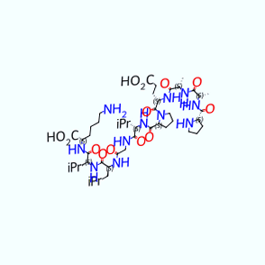 CC(C)C[C@H](NC(=O)CNC(=O)[C@@H](NC(=O)[C@@H]1CCCN1C(=O)[C@H](CCC(=O)O)NC(=O)[C@H](C)NC(=O)[C@H](C)NC(=O)[C@@H]1CCCN1)C(C)C)C(=O)N[C@H](C(=O)N[C@@H](CCCCN)C(=O)O)C(C)C